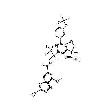 COc1cc(C(=O)NCC(O)(c2cc3c(c(-c4ccc5c(c4)OC(F)(F)O5)n2)OC[C@]3(C)C(N)=O)C(F)(F)F)cc2cc(C3CC3)nnc12